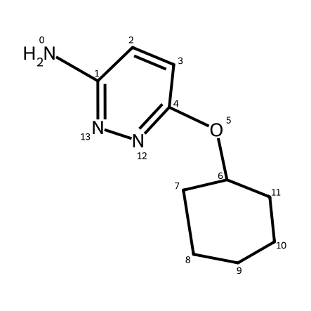 Nc1ccc(OC2CCCCC2)nn1